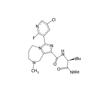 CNC(=O)[C@@H](NC(=O)c1nc(-c2cc(Cl)cnc2F)n2c1CN(C)CCC2)C(C)(C)C